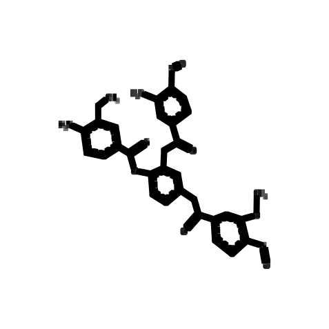 CCc1cc(C(=S)Oc2ccc(CC(=O)c3ccc(N=O)c(OC)c3)cc2CC(=O)c2ccc(N=O)c(P)c2)ccc1N